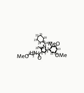 COCCNC(=O)c1cc(-c2cc(OC)ccc2OC)n(CC2CCCCC2)c1C